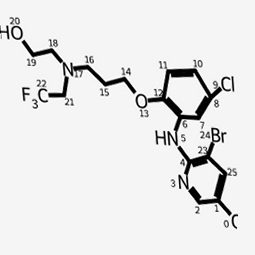 Cc1cnc(Nc2cc(Cl)ccc2OCCCN(CCO)CC(F)(F)F)c(Br)c1